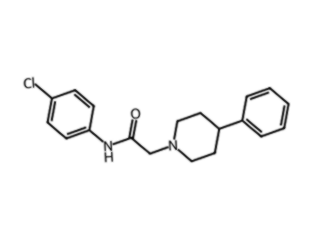 O=C(CN1CCC(c2ccccc2)CC1)Nc1ccc(Cl)cc1